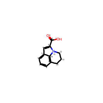 O=C(O)c1cc2cccc3c2n1CCC3